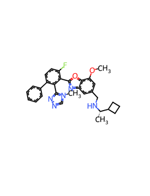 COc1cc(CN[C@@H](C)C2CCC2)cc2nc(-c3c(F)ccc(-c4ccccc4)c3-c3nncn3C)oc12